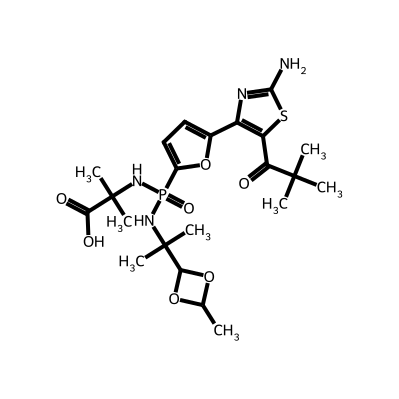 CC1OC(C(C)(C)NP(=O)(NC(C)(C)C(=O)O)c2ccc(-c3nc(N)sc3C(=O)C(C)(C)C)o2)O1